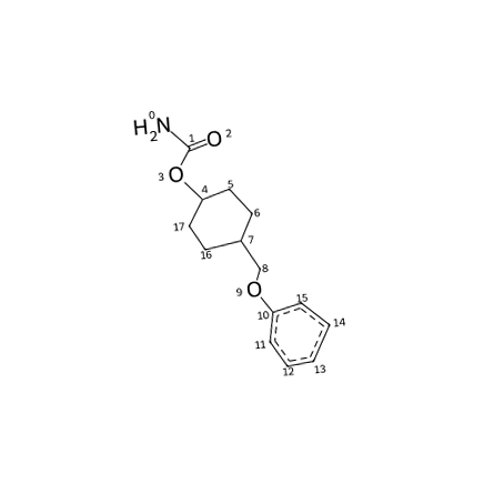 NC(=O)OC1CCC(COc2ccccc2)CC1